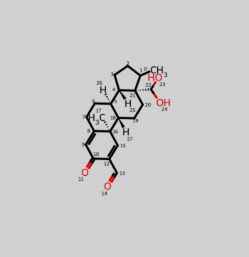 CC1CC[C@H]2[C@@H]3CCC4=CC(=O)C(C=O)=C[C@]4(C)[C@H]3CC[C@]12C(O)O